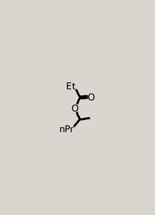 [CH2]CCC(C)OC(=O)CC